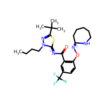 CCCCn1nc(C(C)(C)C)s/c1=N\C(=O)c1cc(C(F)(F)F)ccc1O/N=C1/CCCCCN1